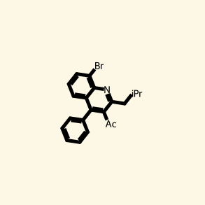 CC(=O)c1c(CC(C)C)nc2c(Br)cccc2c1-c1ccccc1